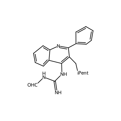 CCCC(C)Cc1c(-c2ccccc2)nc2ccccc2c1NC(=N)NC=O